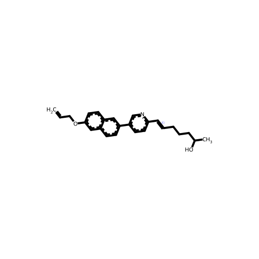 C=CCOc1ccc2cc(-c3ccc(/C=C/CCCC(C)O)nc3)ccc2c1